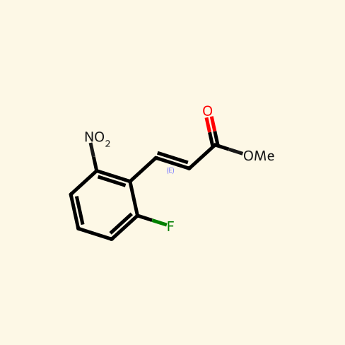 COC(=O)/C=C/c1c(F)cccc1[N+](=O)[O-]